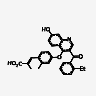 CCc1ccccc1C(=O)c1cnc2cc(O)ccc2c1Oc1ccc(/C=C(\C)C(=O)O)c(C)c1